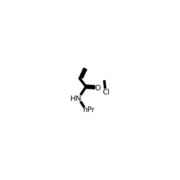 C=CC(=O)NCCC.CCl